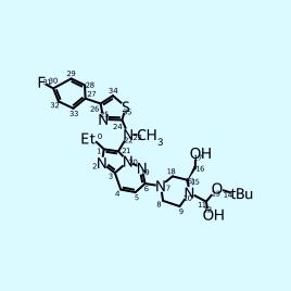 CCc1nc2ccc(N3CCN(C(O)OC(C)(C)C)[C@H](CO)C3)nn2c1N(C)c1nc(-c2ccc(F)cc2)cs1